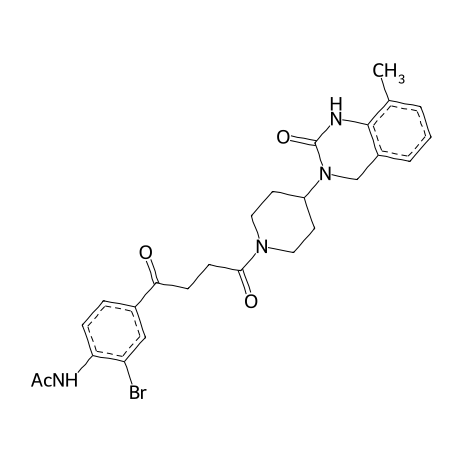 CC(=O)Nc1ccc(C(=O)CCC(=O)N2CCC(N3Cc4cccc(C)c4NC3=O)CC2)cc1Br